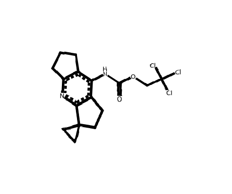 O=C(Nc1c2c(nc3c1CCC31CC1)CCC2)OCC(Cl)(Cl)Cl